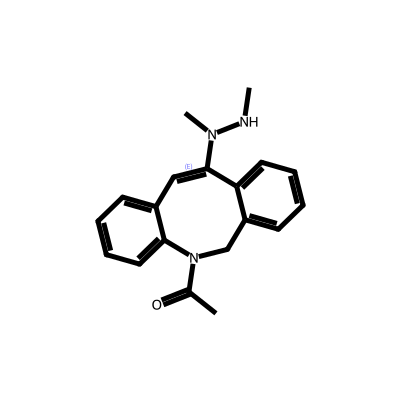 CNN(C)/C1=C/c2ccccc2N(C(C)=O)Cc2ccccc21